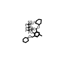 Cc1cc(COC2CCCCC2)c(OS(=O)(=O)C(F)(F)C(F)(F)C(F)(F)S(=O)(=O)O)c(COC2CCCCC2)c1